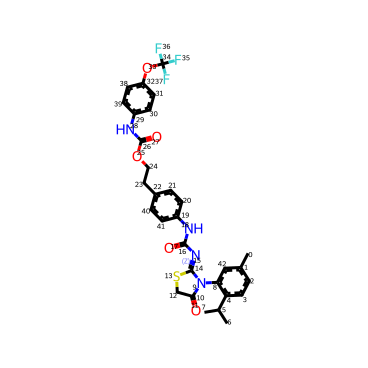 Cc1ccc(C(C)C)c(N2C(=O)CS/C2=N\C(=O)Nc2ccc(CCOC(=O)Nc3ccc(OC(F)(F)F)cc3)cc2)c1